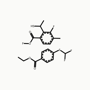 CCOC(=O)c1ccc(SC(F)F)cc1.Cc1ccc(C(=O)OF)c(C(C)S)c1F